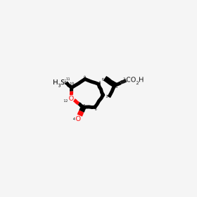 C=C(C)C(=O)O.O=C1CCCCC([SiH3])O1